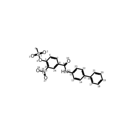 CS(=O)(=O)Oc1ccc(C(=O)Nc2ccc(-c3ccccc3)cc2)cc1[N+](=O)[O-]